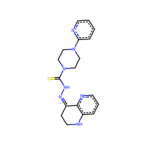 S=C(N/N=C1/CCNc2cccnc21)N1CCN(c2ccccn2)CC1